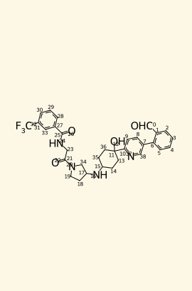 O=Cc1ccccc1-c1ccc(C2(O)CCC(NC3CCN(C(=O)CNC(=O)c4cccc(C(F)(F)F)c4)C3)CC2)nc1